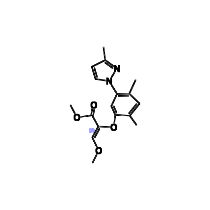 CO/C=C(\Oc1cc(-n2ccc(C)n2)c(C)cc1C)C(=O)OC